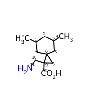 CC1CC(C)CC2(C1)CC2(CN)C(=O)O